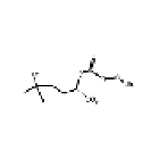 CCC(C)(C)CC[C@H](NC(=O)OOC(C)(C)C)C(=O)O